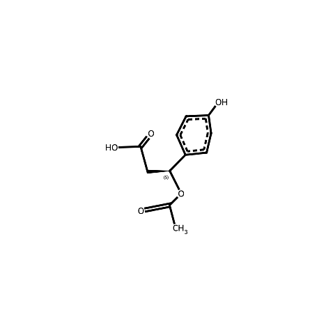 CC(=O)O[C@@H](CC(=O)O)c1ccc(O)cc1